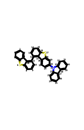 c1ccc2c(c1)sc1cccc(-c3cccc4sc5cc(-n6c7ccccc7c7ccccc76)ccc5c34)c12